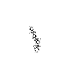 CC1CCC(C(=O)Nc2ccc(-c3nc4cc(C(=O)NC5CCCCCC5)ccc4[nH]3)cc2)CC1